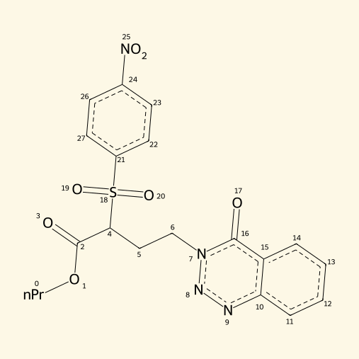 CCCOC(=O)C(CCn1nnc2ccccc2c1=O)S(=O)(=O)c1ccc([N+](=O)[O-])cc1